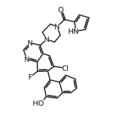 O=C(c1ccc[nH]1)N1CCN(c2ncnc3c(F)c(-c4cc(O)cc5ccccc45)c(Cl)cc23)CC1